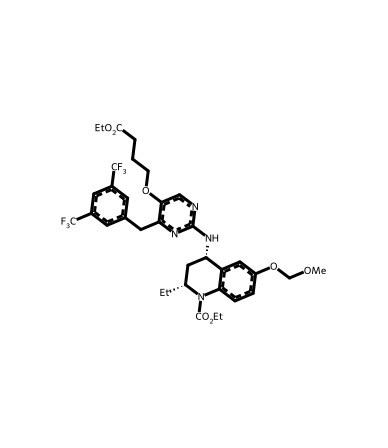 CCOC(=O)CCCOc1cnc(N[C@H]2C[C@@H](CC)N(C(=O)OCC)c3ccc(OCOC)cc32)nc1Cc1cc(C(F)(F)F)cc(C(F)(F)F)c1